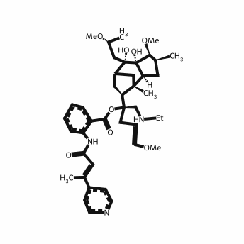 CCNC[C@@](C/C=C/OC)(OC(=O)c1ccccc1NC(=O)/C=C(\C)c1ccncc1)[C@H]1CC2C[C@]1(C)[C@@H]1C[C@H](C)[C@H](OC)[C@]1(O)[C@]2(O)C[C@@H](C)OC